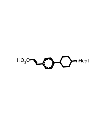 CCCCCCCC1CCC(c2ccc(/C=C/C(=O)O)cc2)CC1